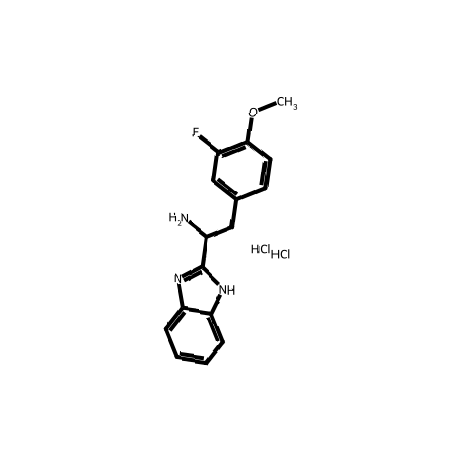 COc1ccc(CC(N)c2nc3ccccc3[nH]2)cc1F.Cl.Cl